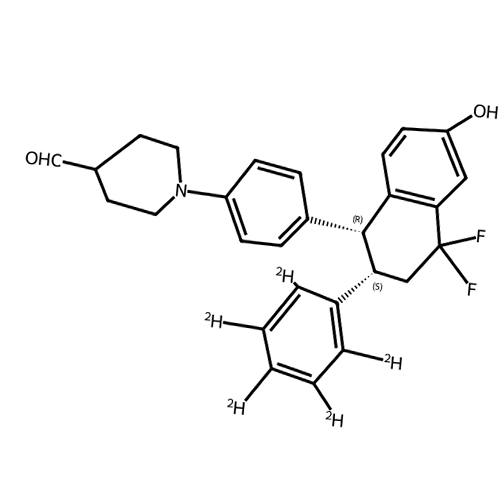 [2H]c1c([2H])c([2H])c([C@H]2CC(F)(F)c3cc(O)ccc3[C@H]2c2ccc(N3CCC(C=O)CC3)cc2)c([2H])c1[2H]